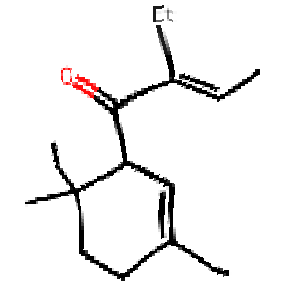 CC=C(CC)C(=O)C1C=C(C)CCC1(C)C